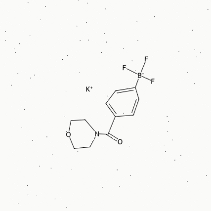 O=C(c1ccc([B-](F)(F)F)cc1)N1CCOCC1.[K+]